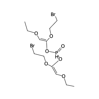 CCOC=C(OCCBr)O[PH](=O)OC(=COCC)OCCBr